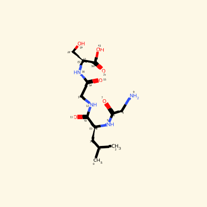 CC(C)C[C@H](NC(=O)CN)C(=O)NCC(=O)N[C@@H](CO)C(=O)O